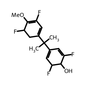 COC1=C(F)C=C(C(C)(C)C2=CC(F)C(O)C(F)=C2)CC1F